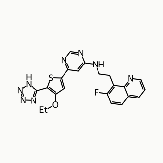 CCOc1cc(-c2cc(NCCc3c(F)ccc4cccnc34)ncn2)sc1-c1nnn[nH]1